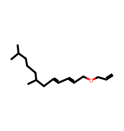 C=CCOCC=CC=CCC(C)CCCC(C)C